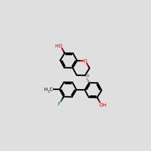 Cc1ccc(-c2cc(O)ccc2[C@H]2COc3cc(O)ccc3C2)cc1F